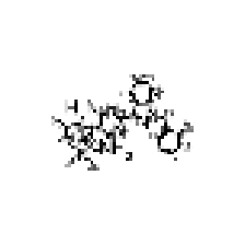 CC(C)CN(c1c(N)nc(-c2nn(Cc3ccccc3F)c3ncccc23)nc1N)S(=O)(=O)N(C)C